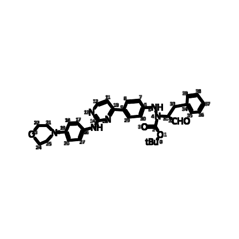 CC(C)(C)OC(=O)N(Nc1ccc(-c2ccnc(Nc3ccc(N4CCOCC4)cc3)n2)cc1)[C@H](C=O)Cc1ccccc1